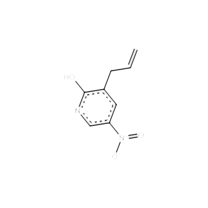 C=CCc1cc([N+](=O)[O-])cnc1O